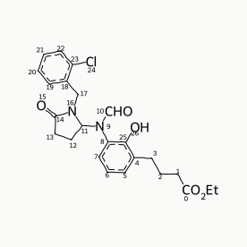 CCOC(=O)CCCc1cccc(N(C=O)C2CCC(=O)N2Cc2ccccc2Cl)c1O